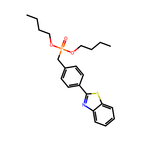 CCCCOP(=O)(Cc1ccc(-c2nc3ccccc3s2)cc1)OCCCC